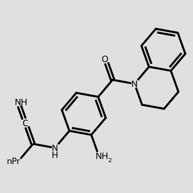 CCCC(=C=N)Nc1ccc(C(=O)N2CCCc3ccccc32)cc1N